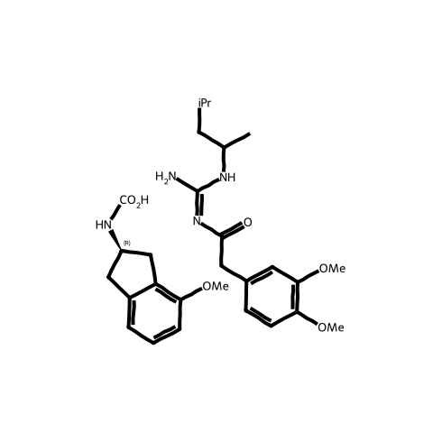 COc1ccc(CC(=O)N=C(N)NC(C)CC(C)C)cc1OC.COc1cccc2c1C[C@H](NC(=O)O)C2